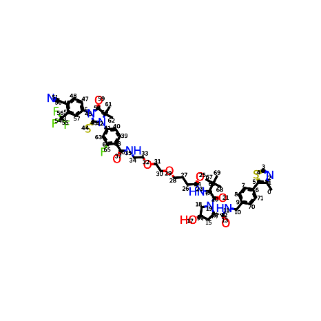 Cc1ncsc1-c1ccc(CNC(=O)[C@@H]2C[C@@H](O)CN2C(=O)[C@@H](NC(=O)CCCOCCOCCNC(=O)c2ccc(N3C(=S)N(c4ccc(C#N)c(C(F)(F)F)c4)C(=O)C3(C)C)cc2F)C(C)(C)C)cc1